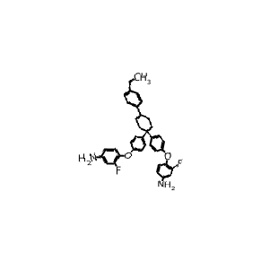 CCc1ccc(C2CCC(c3ccc(Oc4ccc(N)cc4F)cc3)(c3ccc(Oc4ccc(N)cc4F)cc3)CC2)cc1